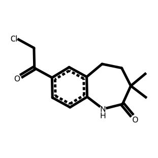 CC1(C)CCc2cc(C(=O)CCl)ccc2NC1=O